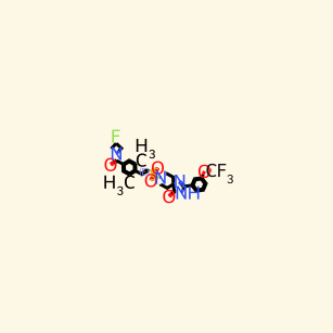 Cc1cc(C(=O)N2CC(F)C2)cc(C)c1/C=C/S(=O)(=O)N1CCC2(CC1)N=C(c1cccc(OC(F)(F)F)c1)NC2=O